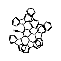 N#Cc1c(-n2c3ccccc3c3cccnc32)c(-c2cc(-c3ccccc3)nc(-c3ccccc3)n2)c(-n2c3ccccc3c3cccnc32)c(-n2c3ccccc3c3cccnc32)c1-n1c2ccccc2c2cccnc21